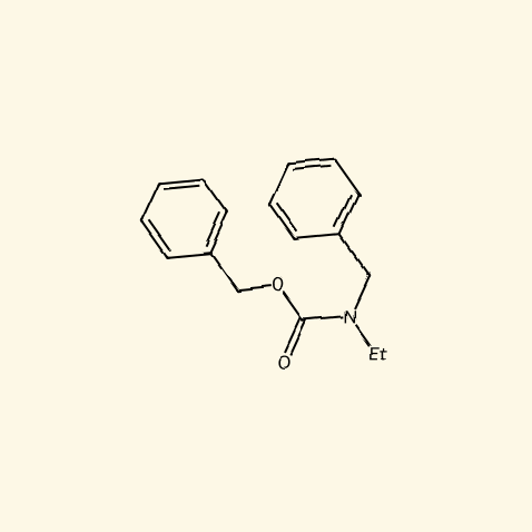 CCN(Cc1ccccc1)C(=O)OCc1ccccc1